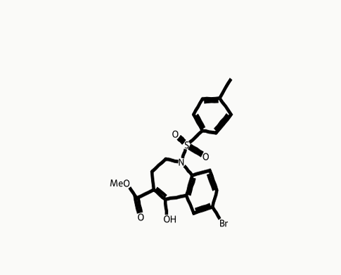 COC(=O)C1=C(O)c2cc(Br)ccc2N(S(=O)(=O)c2ccc(C)cc2)CC1